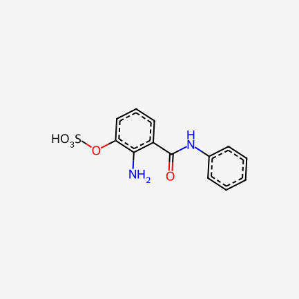 Nc1c(OS(=O)(=O)O)cccc1C(=O)Nc1ccccc1